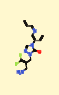 C=C/C=N\C=C(/C=C)n1cnn(CC(CN)=C(F)F)c1=O